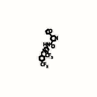 O=C(Nc1cnn(Cc2ccc(C(F)(F)F)cc2C(F)(F)F)c1)c1cncc(-c2ccco2)c1